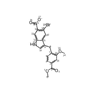 COC(=O)c1ccc(Cc2c[nH]c3cc([N+](=O)[O-])c(Br)cc23)c(OC)c1